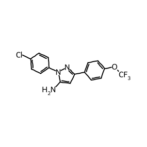 Nc1cc(-c2ccc(OC(F)(F)F)cc2)nn1-c1ccc(Cl)cc1